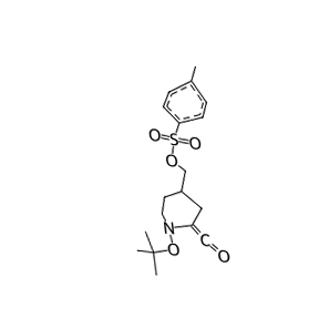 Cc1ccc(S(=O)(=O)OCC2CCN(OC(C)(C)C)C(=C=O)C2)cc1